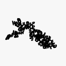 C[C@]12C=CC(=O)C=C1CC[C@@H]1[C@@H]2[C@@H](O)C[C@@]2(C)[C@H]1C[C@H]1O[C@@H](c3cscc3Cc3cccc(NC(=O)[C@H](CCC(=O)O)NC(=O)CNC(=O)CBr)c3)O[C@]12C(=O)CO